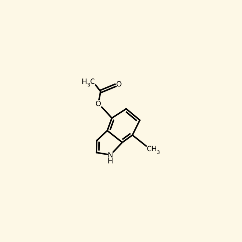 CC(=O)Oc1ccc(C)c2[nH]ccc12